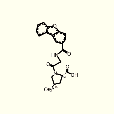 O=[S+][C@@H]1C[C@@H](C(=O)O)N(C(=O)CNC(=O)c2ccc3oc4ccccc4c3c2)C1